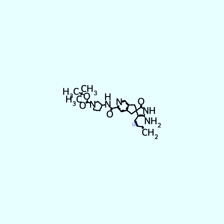 C=C/C=C\C1=C(N)NC(=O)C12Cc1cnc(C(=O)NC3CCN(C(=O)OC(C)(C)C)C3)cc1C2